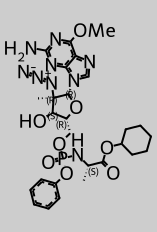 COc1nc(N)nc2c1ncn2[C@@H]1O[C@H](COP(=O)(N[C@@H](C)C(=O)OC2CCCCC2)Oc2ccccc2)[C@@H](O)[C@@]1(C)N=[N+]=[N-]